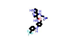 Cc1ccc(Nc2cccc(C(F)(F)F)c2)cc1NC(=O)c1cnc2[nH]ccc2c1NCCN(C)C